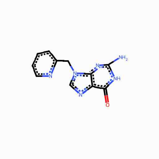 Nc1nc2c(ncn2Cc2ccccn2)c(=O)[nH]1